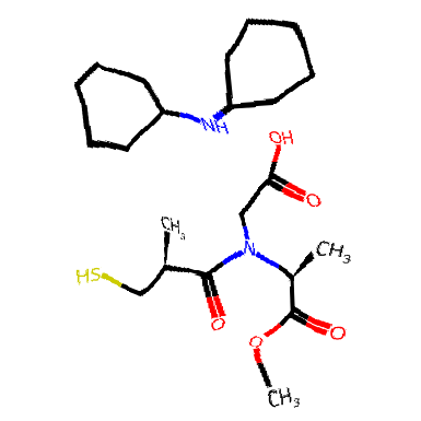 C1CCC(NC2CCCCC2)CC1.COC(=O)[C@H](C)N(CC(=O)O)C(=O)[C@H](C)CS